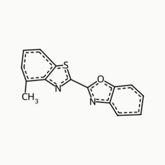 Cc1cccc2sc(-c3nc4ccccc4o3)nc12